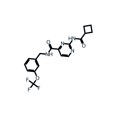 O=C(NCc1cccc(OC(F)(F)F)c1)c1ccnc(NC(=O)C2CCC2)n1